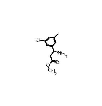 COC(=O)C[C@H](N)c1cc(Cl)cc(I)c1